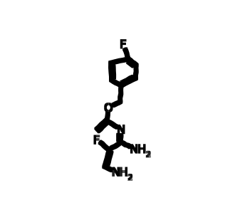 C=C(/N=C(N)\C(F)=C/N)OCc1ccc(F)cc1